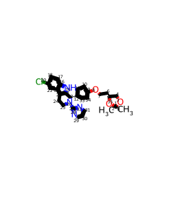 CC1(C)OC[C@H](CCOc2ccc([C@H]3c4[nH]c5ccc(Cl)cc5c4CCN3c3ncccn3)cc2)O1